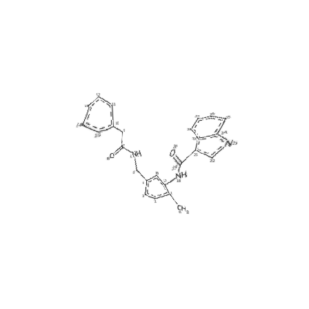 Cc1ccc(CNC(=O)Cc2ccccc2)cc1NC(=O)c1cnc2ccccn12